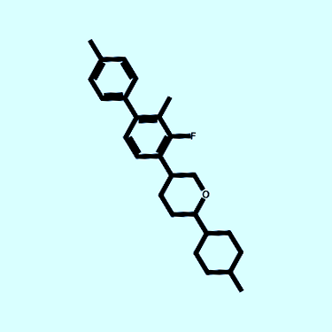 Cc1ccc(-c2ccc(C3CCC(C4CCC(C)CC4)OC3)c(F)c2C)cc1